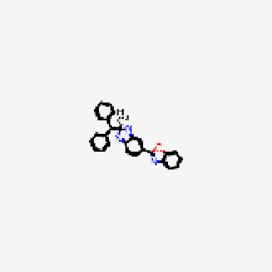 CC1(C(c2ccccc2)c2ccccc2)N=c2ccc(-c3nc4ccccc4o3)cc2=N1